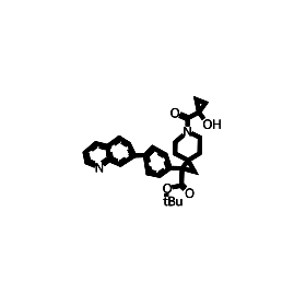 CC(C)(C)OC(=O)C1(c2ccc(-c3ccc4cccnc4c3)cc2)CC12CCN(C(=O)C1(O)CC1)CC2